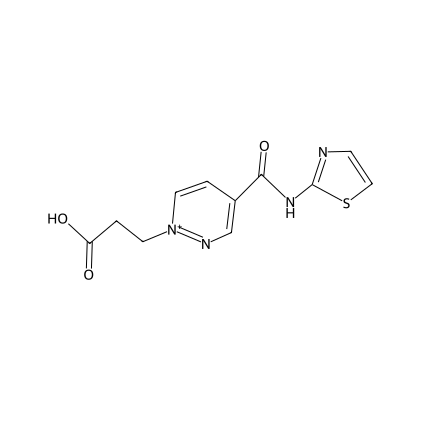 O=C(O)CC[n+]1ccc(C(=O)Nc2nccs2)cn1